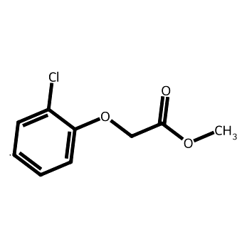 COC(=O)COc1cc[c]cc1Cl